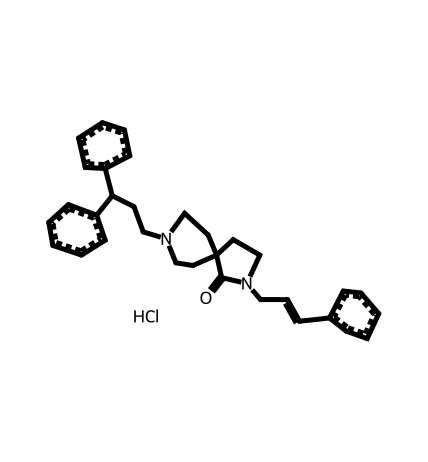 Cl.O=C1N(CC=Cc2ccccc2)CCC12CCN(CCC(c1ccccc1)c1ccccc1)CC2